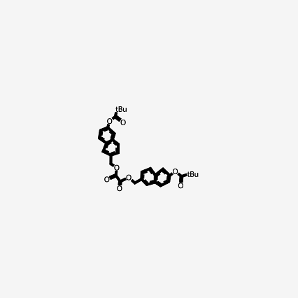 CC(C)(C)C(=O)Oc1ccc2cc(COC(=O)C(=O)OCc3ccc4cc(OC(=O)C(C)(C)C)ccc4c3)ccc2c1